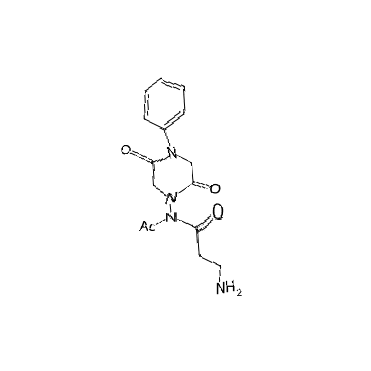 CC(=O)N(C(=O)CCN)N1CC(=O)N(c2ccccc2)CC1=O